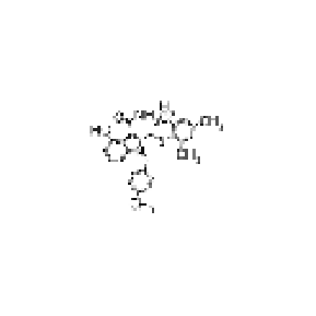 Cc1ccc(Cn2c(CSc3c(C)cc(C)cc3C)c(C(N)=O)c3c(O)cccc32)cc1